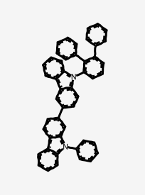 c1ccc(-c2cccc(-n3c4ccccc4c4cc(-c5ccc6c7ccccc7n(-c7ccccc7)c6c5)ccc43)c2-c2ccccc2)cc1